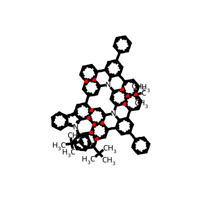 CC(C)(C)c1cc(N(c2cccc(-c3cc(C(C)(C)C)cc(C(C)(C)C)c3)c2)c2c(-c3ccccc3)cc(-c3ccccc3)cc2-c2ccccc2)cc(N(c2cccc(-c3ccc4c(c3)c3ccccc3n4-c3ccccc3)c2)c2c(-c3ccccc3)cc(-c3ccccc3)cc2-c2ccccc2)c1